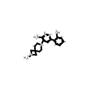 CN1CC2(CCN(c3cc(-c4ccccc4O)nnc3N)CC2)C1